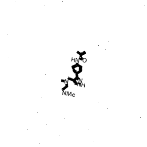 C=C(C)C(=O)Nc1ccc(-c2n[nH]cc2CN(C)CCNC)cc1